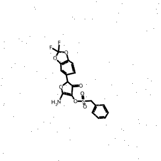 NC1=C(OS(=O)(=O)Cc2ccccc2)C(=O)C(c2ccc3c(c2)OC(F)(F)O3)O1